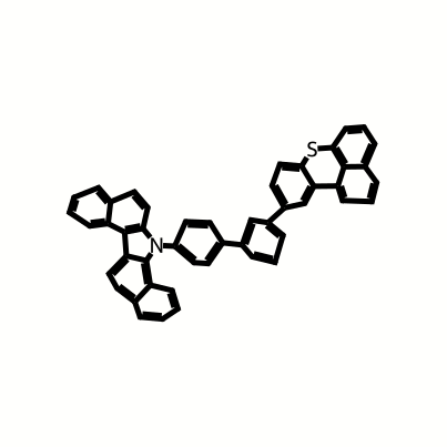 c1cc(-c2ccc(-n3c4ccc5ccccc5c4c4ccc5ccccc5c43)cc2)cc(-c2ccc3c(c2)-c2cccc4cccc(c24)S3)c1